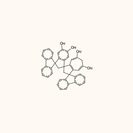 OC1=CC2=C(C=C(O)C1)C1(CC23CC2(c4ccccc4-c4ccccc42)c2cc(O)c(O)cc23)c2ccccc2-c2ccccc21